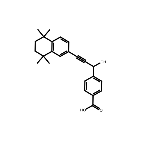 CC1(C)CCC(C)(C)c2cc(C#CC(O)c3ccc(C(=O)O)cc3)ccc21